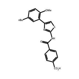 CCCCc1ccc(OC)c(-c2csc(NC(=O)c3ccc(C(=O)O)cc3)n2)c1